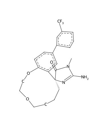 CN1C(=O)[C@@]2(CCCCOCCOc3ccc(-c4cccc(C(F)(F)F)c4)cc32)N=C1N